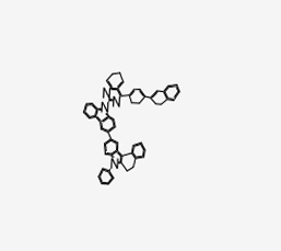 C1=C(C2=Cc3ccccc3CC2)CCC(c2nc(-n3c4ccccc4c4cc(-c5ccc6c(c5)c5c(n6-c6ccccc6)CCc6ccccc6-5)ccc43)nc3c2=CCCC=3)=C1